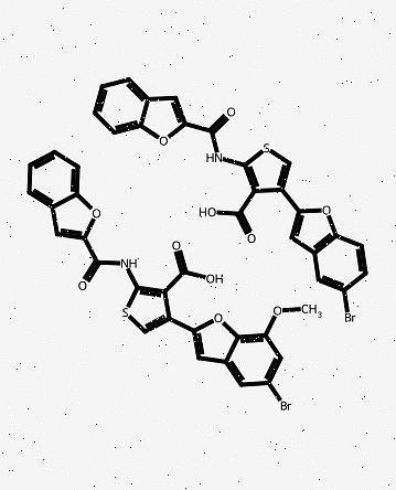 COc1cc(Br)cc2cc(-c3csc(NC(=O)c4cc5ccccc5o4)c3C(=O)O)oc12.O=C(Nc1scc(-c2cc3cc(Br)ccc3o2)c1C(=O)O)c1cc2ccccc2o1